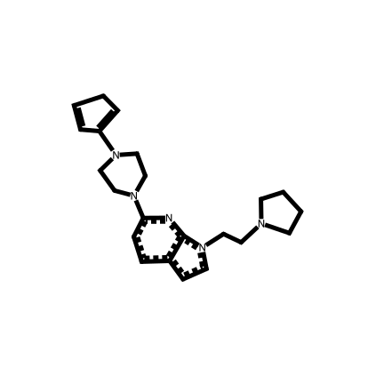 C1=CC(N2CCN(c3ccc4ccn(CCN5CCCC5)c4n3)CC2)=CC1